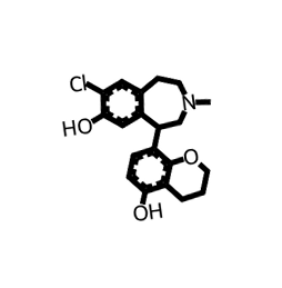 CN1CCc2cc(Cl)c(O)cc2C(c2ccc(O)c3c2OCCC3)C1